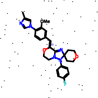 COc1cc(/C=C2\OCCN3C2=NC2(CCOCC2)N3c2ccc(F)cc2)ccc1-n1cnc(C)c1